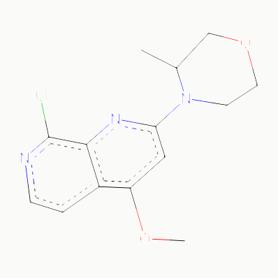 COc1cc(N2CCOCC2C)nc2c(Cl)nccc12